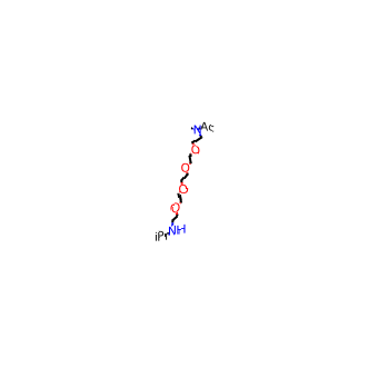 CC(=O)N(C)CCOCCOCCOCCOCCNC(C)C